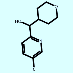 OC(c1ccc(Cl)cn1)C1CCOCC1